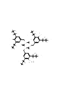 CC(C)(C)C(C)(C)c1cc(Cn2c(=O)n(Cc3cc(C(C)(C)C(C)(C)C)c(O)c(C(C)(C)C(C)(C)C)c3)c(=O)n(Cc3cc(C(C)(C)C(C)(C)C)c(O)c(C(C)(C)C(C)(C)C)c3)c2=O)cc(C(C)(C)C(C)(C)C)c1O